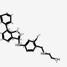 OCCNCc1ccc(Nc2nsc3c(-c4ccccc4)cccc23)cc1F